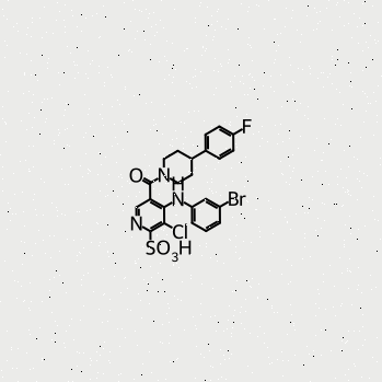 O=C(c1cnc(S(=O)(=O)O)c(Cl)c1Nc1cccc(Br)c1)N1CCC(c2ccc(F)cc2)CC1